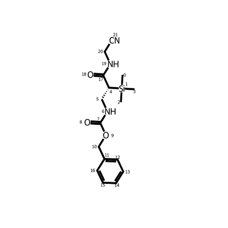 C[Si](C)(C)[C@H](CNC(=O)OCc1ccccc1)C(=O)NCC#N